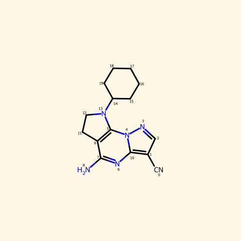 N#Cc1cnn2c3c(c(N)nc12)CCN3C1CCCCC1